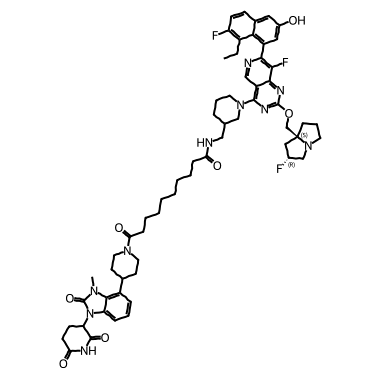 CCc1c(F)ccc2cc(O)cc(-c3ncc4c(N5CCCC(CNC(=O)CCCCCCCCC(=O)N6CCC(c7cccc8c7n(C)c(=O)n8C7CCC(=O)NC7=O)CC6)C5)nc(OC[C@@]56CCCN5C[C@H](F)C6)nc4c3F)c12